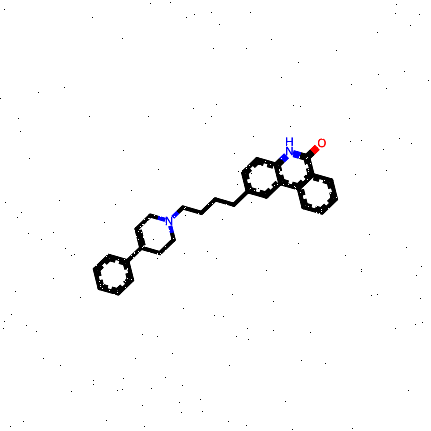 O=c1[nH]c2ccc(CCCCN3CC=C(c4ccccc4)CC3)cc2c2ccccc12